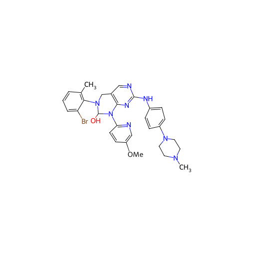 COc1ccc(N2c3nc(Nc4ccc(N5CCN(C)CC5)cc4)ncc3CN(c3c(C)cccc3Br)C2O)nc1